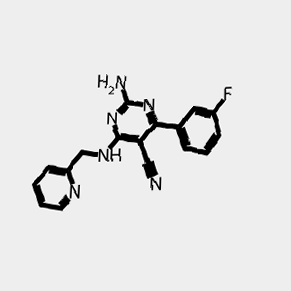 N#Cc1c(NCc2ccccn2)nc(N)nc1-c1cccc(F)c1